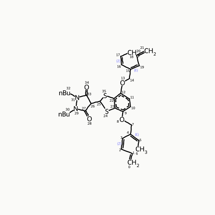 C=C/C=C\C(=C/C)COc1ccc(OCC(/C=C\C)=C/C=C)c2c1SC(C1C(=O)N(CCCC)N(CCCC)C1=O)S2